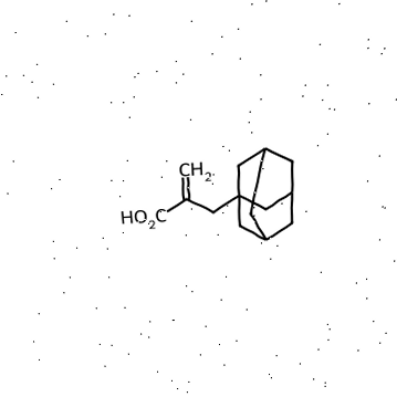 C=C(CC12CC3CC(CC(C3)C1)C2)C(=O)O